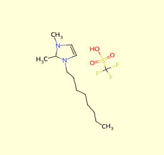 CCCCCCCCN1C=CN(C)C1C.O=S(=O)(O)C(F)(F)F